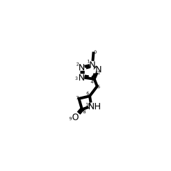 Cn1nnc(CC2CC(=O)N2)n1